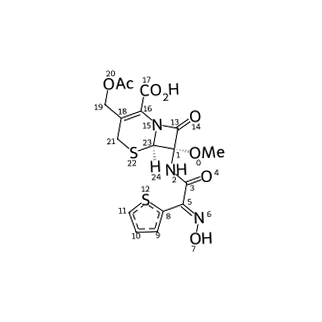 CO[C@@]1(NC(=O)/C(=N/O)c2cccs2)C(=O)N2C(C(=O)O)=C(COC(C)=O)CS[C@@H]21